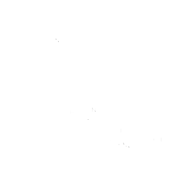 CC1C=CC=C(c2cccc(N(c3ccc(-c4ccc5c(c4)c4ccccc4n5-c4ccccc4)cc3)C3(C)C=C4C(=CC3)c3ccccc3C4(C)C)c2)C1